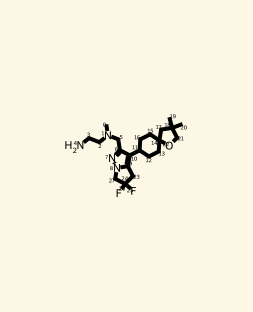 CN(CCN)Cc1nn2c(c1C1CCC3(CC1)CC(C)(C)CO3)CC(F)(F)C2